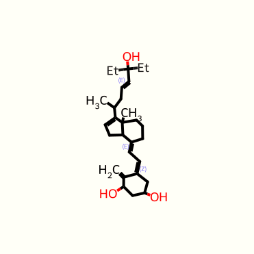 C=C1/C(=C\C=C2/CCCC3(C)C(C(C)C/C=C/C(O)(CC)CC)=CCC23)CC(O)CC1O